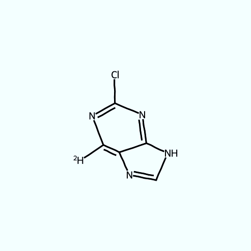 [2H]c1nc(Cl)nc2[nH]cnc12